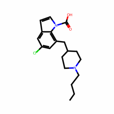 CCCCN1CCC(Cc2cc(Cl)cc3ccn(C(=O)O)c23)CC1